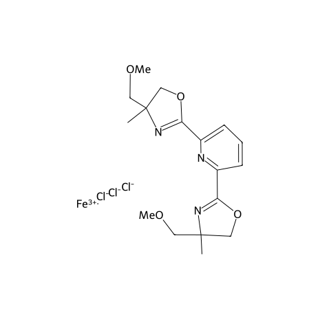 COCC1(C)COC(c2cccc(C3=NC(C)(COC)CO3)n2)=N1.[Cl-].[Cl-].[Cl-].[Fe+3]